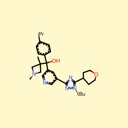 CC(C)c1ccc(C(O)(c2cncc(-c3nc(C4CCOCC4)n(C(C)(C)C)n3)c2)C2(C)CN(C)C2)cc1